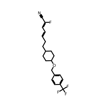 N#CC(F)=CC=CCCC1CCC(OCc2ccc(C(F)(F)F)cc2)CC1